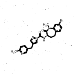 Cc1ccc(Cc2cnn(C(=O)N[C@@H]3CCc4ccc(Br)cc4N(C)C3=O)c2)cn1